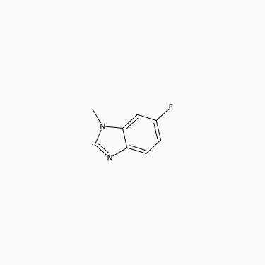 Cn1[c]nc2ccc(F)cc21